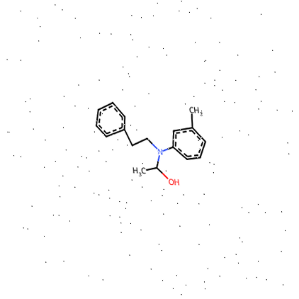 Cc1cccc(N(CCc2ccccc2)C(C)O)c1